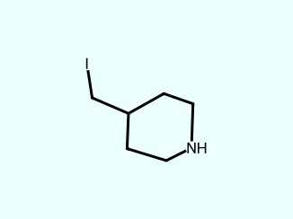 ICC1CCNCC1